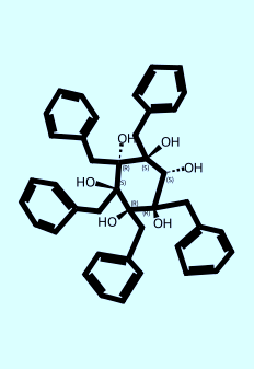 O[C@@H]1[C@](O)(Cc2ccccc2)[C@](O)(Cc2ccccc2)[C@](O)(Cc2ccccc2)[C@@](O)(Cc2ccccc2)[C@]1(O)Cc1ccccc1